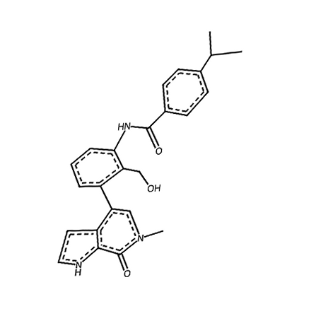 CC(C)c1ccc(C(=O)Nc2cccc(-c3cn(C)c(=O)c4[nH]ccc34)c2CO)cc1